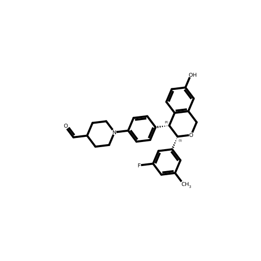 Cc1cc(F)cc([C@H]2OCc3cc(O)ccc3[C@H]2c2ccc(N3CCC(C=O)CC3)cc2)c1